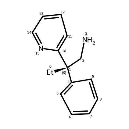 CC[C@@](CN)(c1ccccc1)c1ccccn1